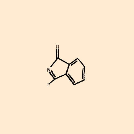 O=C1N=C(I)c2ccccc21